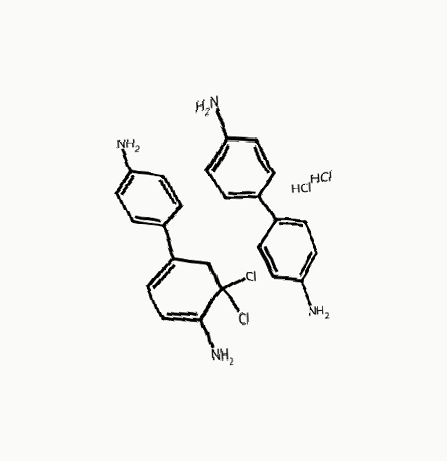 Cl.Cl.NC1=CC=C(c2ccc(N)cc2)CC1(Cl)Cl.Nc1ccc(-c2ccc(N)cc2)cc1